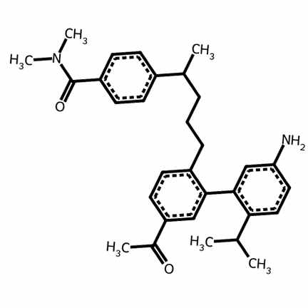 CC(=O)c1ccc(CCCC(C)c2ccc(C(=O)N(C)C)cc2)c(-c2cc(N)ccc2C(C)C)c1